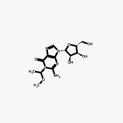 COC(C)n1c(N)nc2c(ncn2[C@@H]2O[C@H](CO)[C@@H](O)[C@H]2O)c1=O